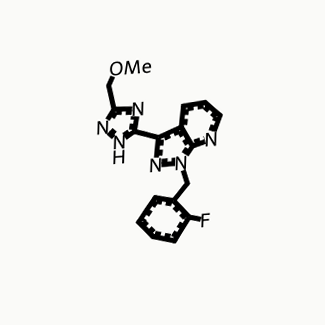 COCc1n[nH]c(-c2nn(Cc3ccccc3F)c3ncccc23)n1